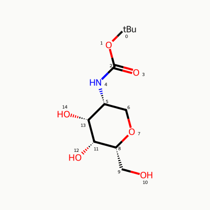 CC(C)(C)OC(=O)N[C@@H]1CO[C@H](CO)[C@H](O)[C@@H]1O